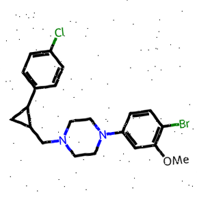 COc1cc(N2CCN(CC3CC3c3ccc(Cl)cc3)CC2)ccc1Br